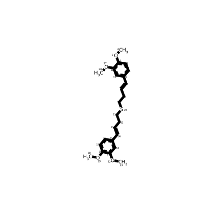 COc1ccc(C=CCCSCCC=Cc2ccc(OC)c(OC)c2)cc1OC